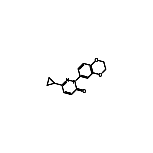 O=c1ccc(C2CC2)nn1-c1ccc2c(c1)OCCO2